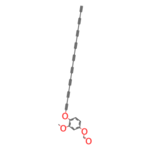 C#CC#CC#CC#CC#CC#CC#CC#CC#COc1ccc(OC=O)cc1OC